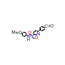 COc1ccc(NC(=O)N2CCOc3nc(-c4ccc(C=O)cc4)ccc32)cc1